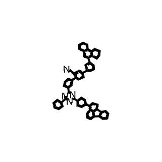 N#Cc1cc(-c2cccc(-c3cc4ccccc4c4ccccc34)c2)ccc1-c1cccc(-c2nc(-c3ccccc3)nc(-c3ccc(-c4ccc5c6c(cccc46)-c4ccccc4-5)cc3)n2)c1